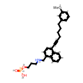 COc1cccc(CCCCC#Cc2ccc(CNCCCO[PH](=O)O)c3ccccc23)c1